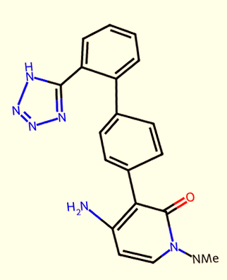 CNn1ccc(N)c(-c2ccc(-c3ccccc3-c3nnn[nH]3)cc2)c1=O